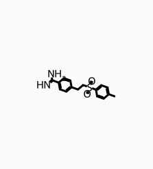 Cc1ccc(S(=O)(=O)CCc2ccc(C(=N)N)cc2)cc1